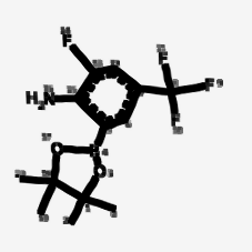 CC1(C)OB(c2cc(C(F)(F)F)cc(F)c2N)OC1(C)C